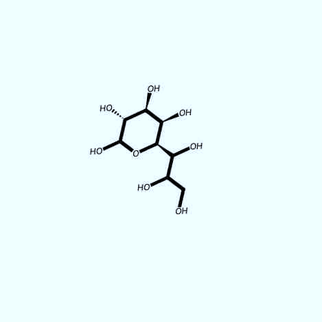 OCC(O)C(O)[C@H]1OC(O)[C@H](O)[C@@H](O)[C@H]1O